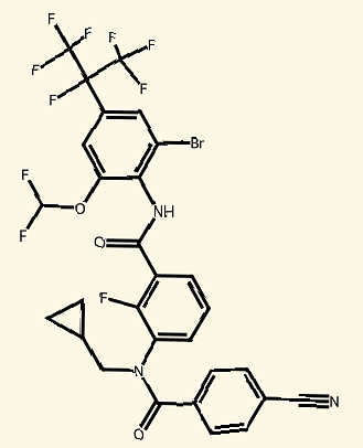 N#Cc1ccc(C(=O)N(CC2CC2)c2cccc(C(=O)Nc3c(Br)cc(C(F)(C(F)(F)F)C(F)(F)F)cc3OC(F)F)c2F)cc1